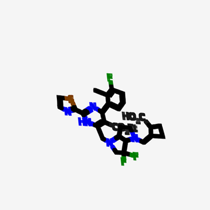 CCOC(=O)C1=C(CN2CC(F)(F)C3C2CCN3CC2CCC2C(=O)O)NC(c2nccs2)=NC1c1cccc(F)c1C